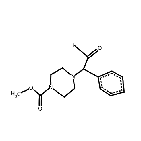 COC(=O)N1CCN(C(C(=O)I)c2ccccc2)CC1